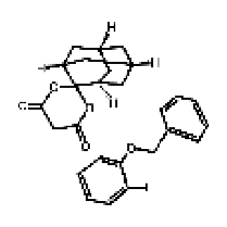 Ic1ccccc1OCc1ccccc1.O=C1CC(=O)OC2(O1)[C@H]1C[C@H]3C[C@H](C1)C[C@H]2C3